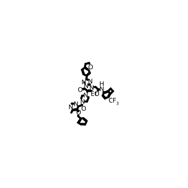 CCc1c(N2CCN(C(=O)c3ncnc(C)c3OCc3ccccc3)CC2)c(=O)n2nc(-c3ccc4c(c3)OCC4)nc2n1CC(=O)Nc1ccc(C(F)(F)F)c2c1CC2